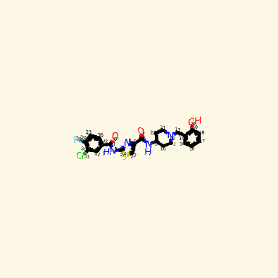 O=C(Nc1nc(C(=O)NC2CCN(Cc3ccccc3O)CC2)cs1)c1ccc(F)c(Cl)c1